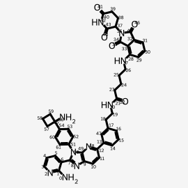 Nc1ncccc1-c1nc2ccc(-c3cccc(CCNC(=O)CCCCNc4cccc5c4C(=O)N(C4CCC(=O)NC4=O)C5=O)c3)nc2n1-c1ccc(C2(N)CCC2)cc1